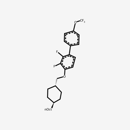 CCCCCCCC[C@H]1CC[C@H](COc2ccc(-c3ccc(OC(F)(F)F)cc3)c(F)c2F)CC1